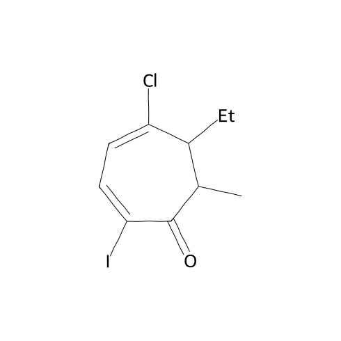 CCC1C(Cl)=CC=C(I)C(=O)C1C